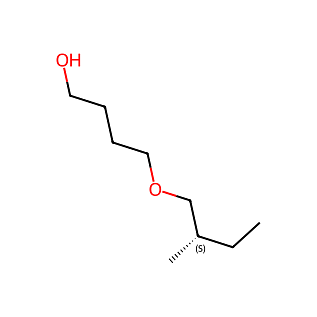 CC[C@H](C)COCCCCO